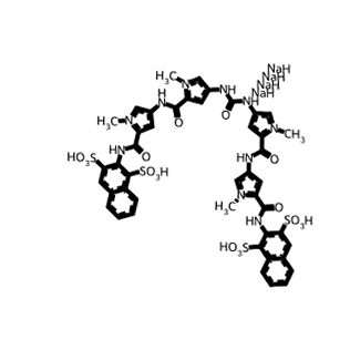 Cn1cc(NC(=O)Nc2cc(C(=O)Nc3cc(C(=O)Nc4c(S(=O)(=O)O)cc5ccccc5c4S(=O)(=O)O)n(C)c3)n(C)c2)cc1C(=O)Nc1cc(C(=O)Nc2c(S(=O)(=O)O)cc3ccccc3c2S(=O)(=O)O)n(C)c1.[NaH].[NaH].[NaH].[NaH]